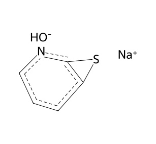 [Na+].[OH-].c1cnc2c(c1)S2